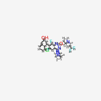 C[C@]12CCC(CN(c3nc(OCC45CCCN4CC(C(F)F)C5)nc4c(F)c(-c5cc(O)cc6cccc(Cl)c56)c(F)cc34)C1)N2